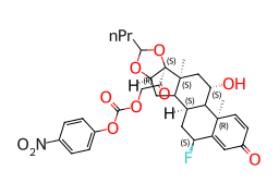 CCCC1O[C@@H]2CC3[C@@H]4C[C@H](F)C5=CC(=O)C=C[C@]5(C)C4[C@@H](O)C[C@]3(C)[C@]2(C(=O)COC(=O)Oc2ccc([N+](=O)[O-])cc2)O1